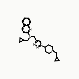 c1ccc2nc(N(Cc3cn(C4CCN(CC5CC5)CC4)nn3)CC3CC3)ccc2c1